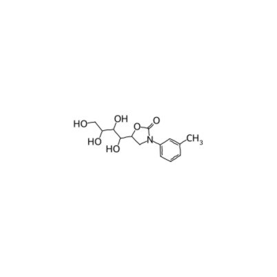 Cc1cccc(N2CC(C(O)C(O)C(O)CO)OC2=O)c1